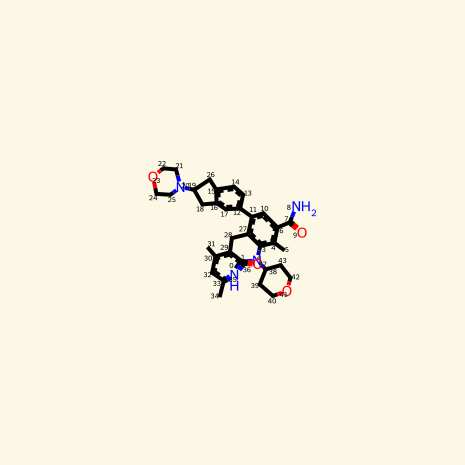 CCN(c1c(C)c(C(N)=O)cc(-c2ccc3c(c2)CC(N2CCOCC2)C3)c1Cc1c(C)cc(C)[nH]c1=O)C1CCOCC1